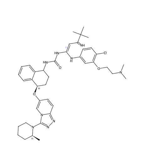 C[C@H]1CCCCN1c1nnc2ccc(O[C@@H]3CCC(NC(=O)N/C(=C/C(=N)C(C)(C)C)Nc4ccc(Cl)c(OCCN(C)C)c4)c4ccccc43)cn12